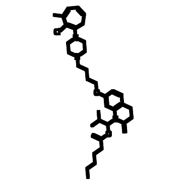 C=C(CCCCC)OC(C(C)C)N1C(=C)CCc2ccc(OCCCCN3CCN(C4=C(Cl)C(C)=CC=CC4)CC3)cc21